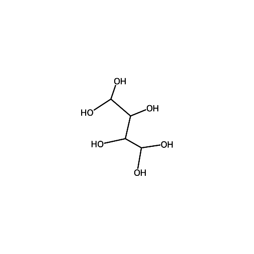 OC(O)C(O)C(O)C(O)O